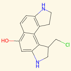 Oc1cc2c(c3c4c(ccc13)NCC4)C(CCl)CN2